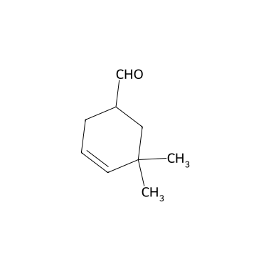 CC1(C)C=CCC(C=O)C1